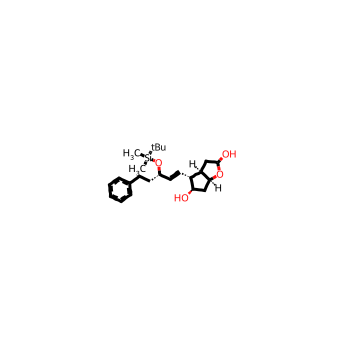 CC(C)(C)[Si](C)(C)O[C@H](/C=C/[C@@H]1[C@H]2CC(O)O[C@H]2C[C@H]1O)CCc1ccccc1